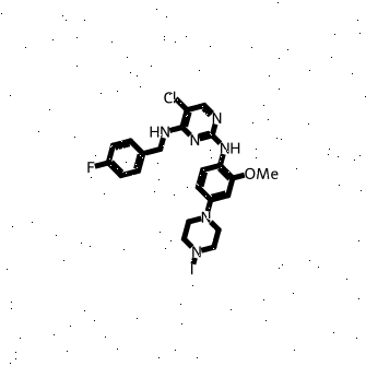 COc1cc(N2CCN(I)CC2)ccc1Nc1ncc(Cl)c(NCc2ccc(F)cc2)n1